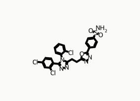 NS(=O)(=O)c1ccc(-c2nnc(CCc3nnc(-c4ccc(Cl)cc4Cl)n3-c3ccccc3Cl)o2)cc1